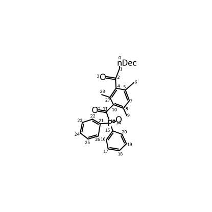 CCCCCCCCCCCC(=O)c1c(C)cc(C)c(C(=O)P(=O)(c2ccccc2)c2ccccc2)c1C